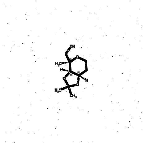 CC1(C)O[C@@H]2[C@@H](CCO[C@]2(C)CO)O1